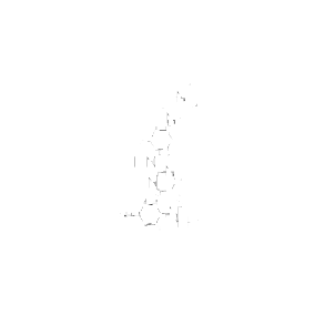 CCCN1Sc2cnc(Nc3ccc(N4CCN(C)CC4)cc3)nc2-c2cc(Br)ccc21